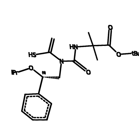 C=C(S)N(C[C@@H](OC(C)C)c1ccccc1)C(=O)NC(C)(C)C(=O)OC(C)(C)C